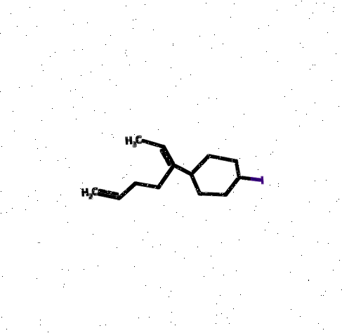 C=CCC/C(=C\C)C1CCC(I)CC1